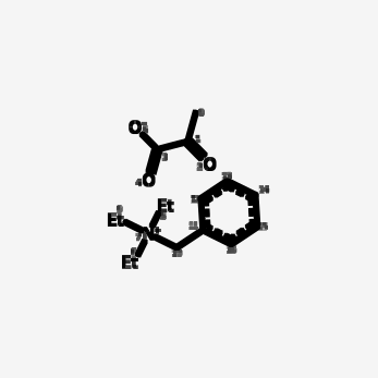 CC(=O)C(=O)[O-].CC[N+](CC)(CC)Cc1ccccc1